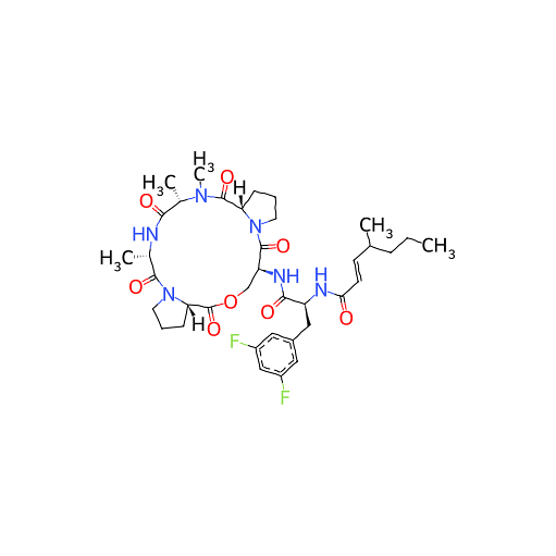 CCCC(C)/C=C/C(=O)N[C@@H](Cc1cc(F)cc(F)c1)C(=O)N[C@H]1COC(=O)[C@@H]2CCCN2C(=O)[C@H](C)NC(=O)[C@H](C)N(C)C(=O)[C@@H]2CCCN2C1=O